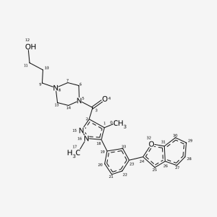 Cc1c(C(=O)N2CCN(CCCO)CC2)nn(C)c1-c1cccc(-c2cc3ccccc3o2)c1